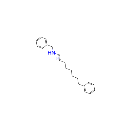 C(=C\NCc1ccccc1)/CCCCCCc1ccccc1